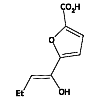 CCC=C(O)c1ccc(C(=O)O)o1